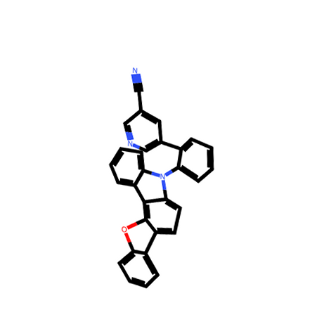 N#Cc1cncc(-c2ccccc2-n2c3ccccc3c3c4oc5ccccc5c4ccc32)c1